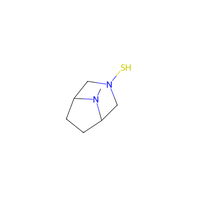 CN1C2CCC1CN(S)C2